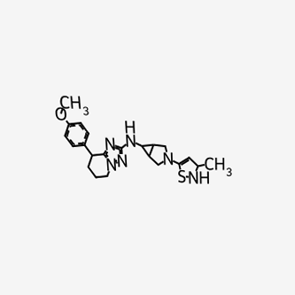 COc1ccc(C2CCCn3nc(NC4C5CN(C6=CC(C)NS6)CC54)nc32)cc1